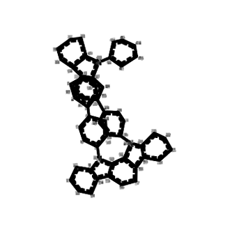 c1ccc(-c2ccc(-n3c4ccccc4c4ccc5c6ccccc6n(-c6ccc(-c7ccc8c9ccccc9n(-c9ccccc9)c8c7)cc6)c5c43)cc2)cc1